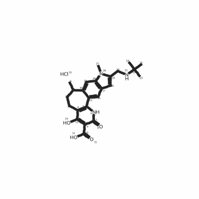 CC1CCc2c([nH]c(=O)c(C(=O)O)c2O)-c2cc3cc(CNC(C)(C)C)n(C)c3cc21.Cl